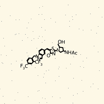 CC(=O)NC1CC(CO)N(C2=NC(=O)C(=Cc3ccc4c(cnn4Cc4ccc(C(F)(F)F)cc4C(F)(F)F)c3)S2)C1